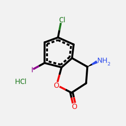 Cl.N[C@H]1CC(=O)Oc2c(I)cc(Cl)cc21